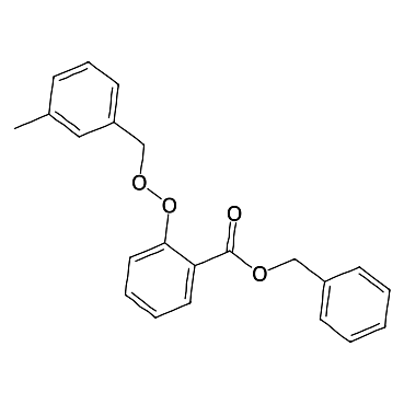 Cc1cccc(COOc2ccccc2C(=O)OCc2ccccc2)c1